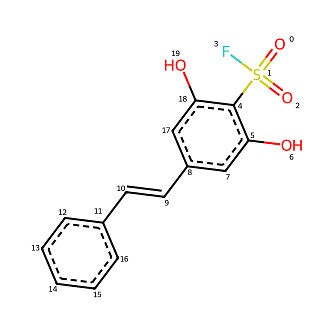 O=S(=O)(F)c1c(O)cc(/C=C/c2ccccc2)cc1O